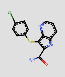 NC(=O)c1[nH]c2cccnc2c1Sc1ccc(Cl)cc1